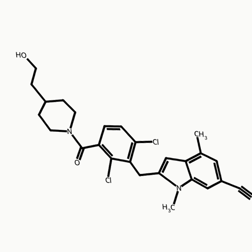 Cc1cc(C#N)cc2c1cc(Cc1c(Cl)ccc(C(=O)N3CCC(CCO)CC3)c1Cl)n2C